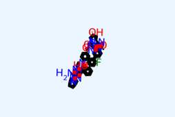 CC(C)(C)[C@H](NC(=O)[C@H]1CC[C@H](N2CCC(c3cnc(N4C5CCC4CN(c4cc(-c6ccccc6O)nnc4N)C5)nc3)CC2)CC1)C(=O)N1C[C@H](O)C[C@H]1C1=NO[C@](C)(c2ccc(-c3ccccc3F)cc2)N1